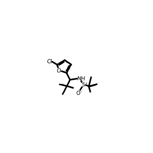 CC(C)(C)C(N[S+]([O-])C(C)(C)C)c1ccc(Cl)o1